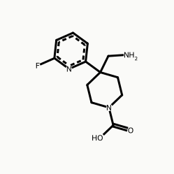 NCC1(c2cccc(F)n2)CCN(C(=O)O)CC1